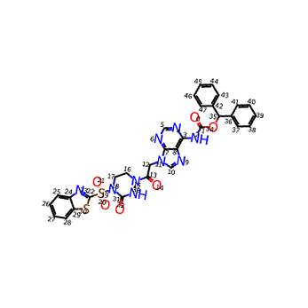 O=C(Nc1ncnc2c1ncn2CC(=O)N1CCN(S(=O)(=O)c2nc3ccccc3s2)C(=O)N1)OC(c1ccccc1)c1ccccc1